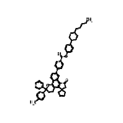 CCCCCC1CCC(c2ccc(OC(=O)c3ccc(-c4ccc5c6c(c7c(c5c4)C(=O)CC74CC=CC4)C=CC(c4ccccc4)(c4ccc(C)cc4)O6)cc3)cc2)CC1